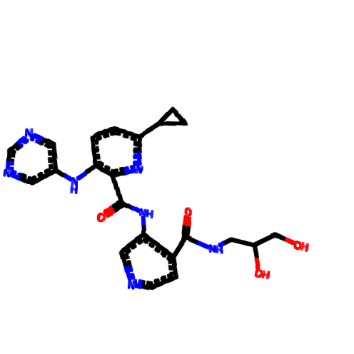 O=C(NCC(O)CO)c1ccncc1NC(=O)c1nc(C2CC2)ccc1Nc1cncnc1